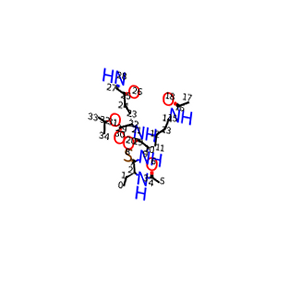 CC[C@H](NC(C)=O)C(=S)N[C@@H](CCCCNC(C)=O)C(=O)N[C@@H](CCC(=O)C=N)C(=O)OC(C)C